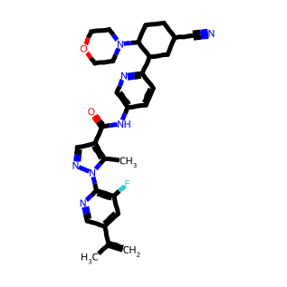 C=C(C)c1cnc(-n2ncc(C(=O)Nc3ccc(C4CC(C#N)CCC4N4CCOCC4)nc3)c2C)c(F)c1